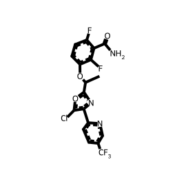 CC(Oc1ccc(F)c(C(N)=O)c1F)c1nc(-c2ccc(C(F)(F)F)cn2)c(Cl)o1